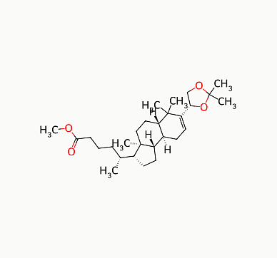 COC(=O)CCC[C@@H](C)[C@H]1CC[C@H]2[C@@H]3CC=C([C@@H]4COC(C)(C)O4)C(C)(C)[C@H]3CC[C@]12C